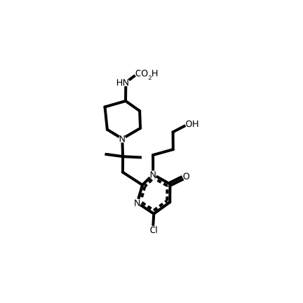 CC(C)(Cc1nc(Cl)cc(=O)n1CCCO)N1CCC(NC(=O)O)CC1